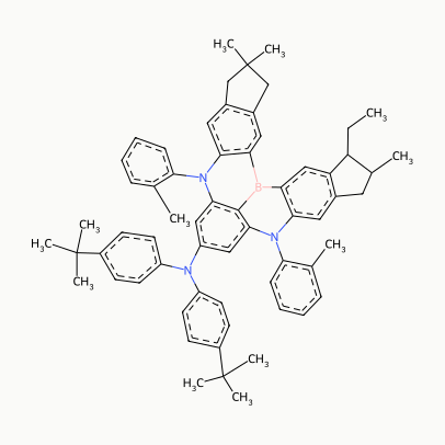 CCC1c2cc3c(cc2CC1C)N(c1ccccc1C)c1cc(N(c2ccc(C(C)(C)C)cc2)c2ccc(C(C)(C)C)cc2)cc2c1B3c1cc3c(cc1N2c1ccccc1C)CC(C)(C)C3